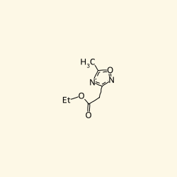 CCOC(=O)Cc1noc(C)n1